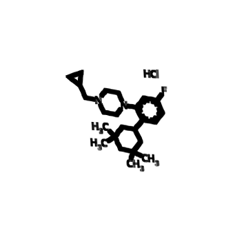 CC1(C)CC(c2ccc(F)cc2N2CCN(CC3CC3)CC2)CC(C)(C)C1.Cl